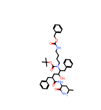 CC(C)CC(NC(=O)C(Cc1ccccc1)CC(O)C(Cc1ccccc1)N(CCCCNC(=O)OCc1ccccc1)C(=O)OC(C)(C)C)C(N)=O